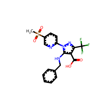 CS(=O)(=O)c1ccc(-n2nc(C(F)(F)F)c(C(=O)O)c2NCc2ccccc2)nc1